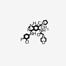 CC(C)(c1cc2ncnc(Nc3ccc(F)c(Cl)c3)c2cc1NC(=O)CN1CCOCC1)N1CCCC1